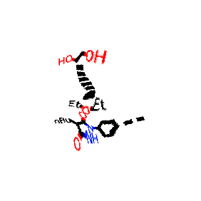 C=C.C=C.C=C.C=C.C=C.C=C.C=C.C=C.CCCCC1C(=O)NN(c2ccccc2)C1=O.CCOCC.OCCO